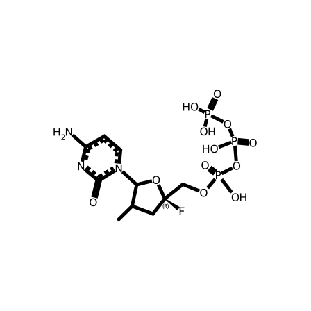 CC1C[C@@](F)(COP(=O)(O)OP(=O)(O)OP(=O)(O)O)OC1n1ccc(N)nc1=O